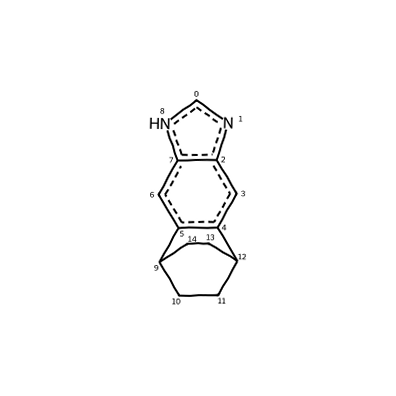 c1nc2cc3c(cc2[nH]1)C1CCC3CC1